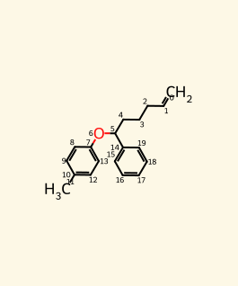 C=CCCCC(Oc1ccc(C)cc1)c1ccccc1